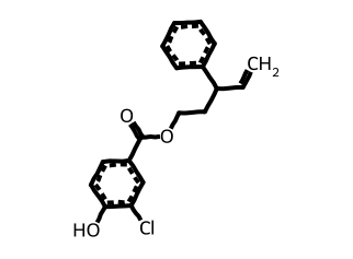 C=CC(CCOC(=O)c1ccc(O)c(Cl)c1)c1ccccc1